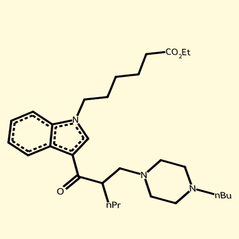 CCCCN1CCN(CC(CCC)C(=O)c2cn(CCCCCC(=O)OCC)c3ccccc23)CC1